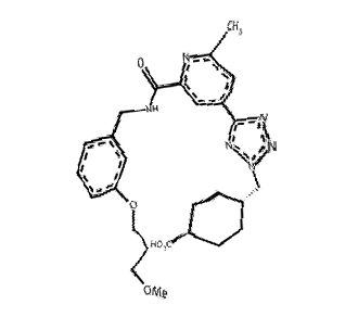 COCCCOc1cccc(CNC(=O)c2cc(-c3nnn(C[C@H]4CC[C@H](C(=O)O)CC4)n3)cc(C)n2)c1